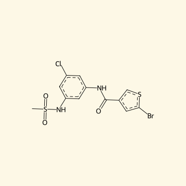 CS(=O)(=O)Nc1cc(Cl)cc(NC(=O)c2csc(Br)c2)c1